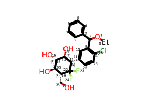 CCOC(c1ccccc1)c1cc([C@H]2[C@H](O)[C@@H](O)[C@H](O)[C@@H](CO)C2(F)F)ccc1Cl